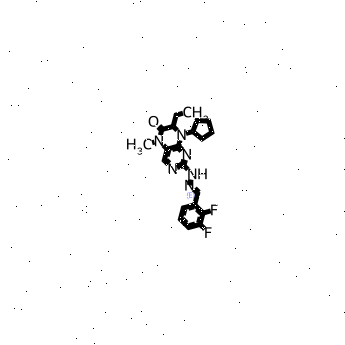 CCC1C(=O)N(C)c2cnc(N/N=C/c3cccc(F)c3F)nc2N1C1CCCC1